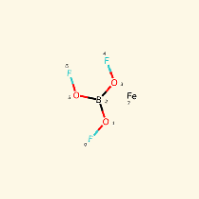 FOB(OF)OF.[Fe]